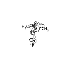 CC(C)CC(C(=O)Nc1ccn(C[C@@H]2COC(C)(C)O2)n1)n1ncc(Oc2cccc(C(F)(F)F)c2Cl)cc1=O